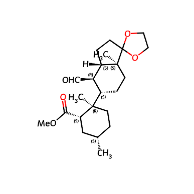 COC(=O)[C@H]1C[C@@H](C)CC[C@]1(C)[C@H]1CC[C@@]2(C)[C@@H](CCC23OCCO3)[C@@H]1C=O